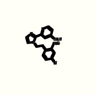 COc1cc(Cl)ccc1CCn1ccnc1-c1cc(C(=O)O)ccn1